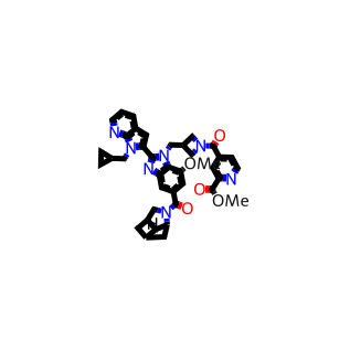 COC(=O)c1cc(C(=O)N2CC(Cn3c(-c4cc5cccnc5n4CC4CC4)nc4cc(C(=O)N5CC6CC7CC5[C@H]76)cc(OC)c43)C2)ccn1